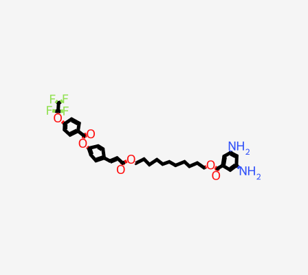 Nc1cc(N)cc(C(=O)OCCCCCCCCCCCOC(=O)/C=C/c2ccc(OC(=O)c3ccc(OC(F)(F)C(F)F)cc3)cc2)c1